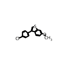 COc1ccc2c(-c3ccc(Cl)cc3)csc2c1